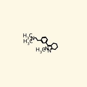 CN(C)CCc1cccc(-c2c3c(nn2C)CCCC3)c1